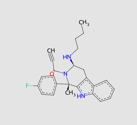 C#CC(=O)N1[C@@H](NCCCC)Cc2c([nH]c3ccccc23)[C@]1(C)c1ccc(F)cc1